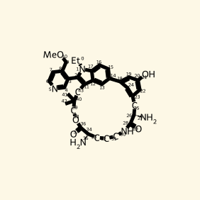 CCn1c(-c2cnccc2COC)c2c3cc(ccc31)-c1cc(O)cc(c1)C[C@H](N)C(=O)NCCC[C@H](N)C(=O)OCC(C)(C)C2